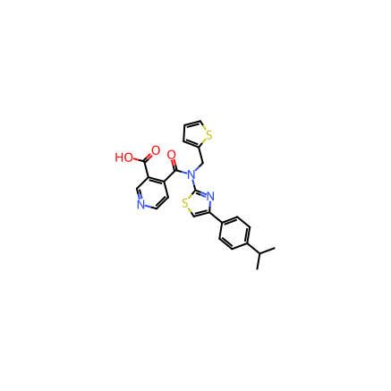 CC(C)c1ccc(-c2csc(N(Cc3cccs3)C(=O)c3ccncc3C(=O)O)n2)cc1